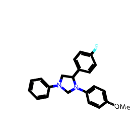 COc1ccc(N2CN(c3ccccc3)CC2c2ccc(F)cc2)cc1